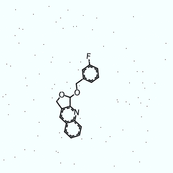 Fc1cccc(COC2OCc3cc4ccccc4nc32)c1